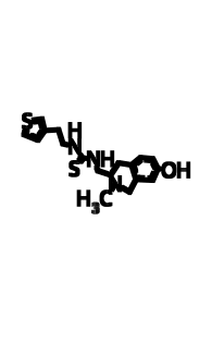 CN1Cc2cc(O)ccc2CC1CNC(=S)NCCc1ccsc1